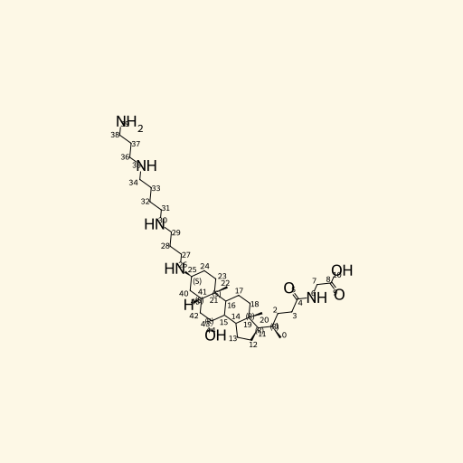 C[C@H](CCC(=O)NCC(=O)O)[C@H]1CCC2C3C(CC[C@@]21C)[C@@]1(C)CC[C@H](NCCCNCCCCNCCCN)C[C@H]1C[C@H]3O